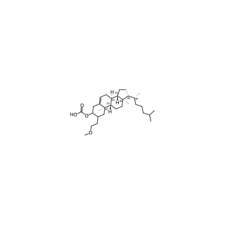 COCCC1C[C@@]2(C)C(=CC[C@H]3[C@@H]4CC[C@H]([C@H](C)CCCC(C)C)[C@@]4(C)CC[C@@H]32)CC1OC(=O)O